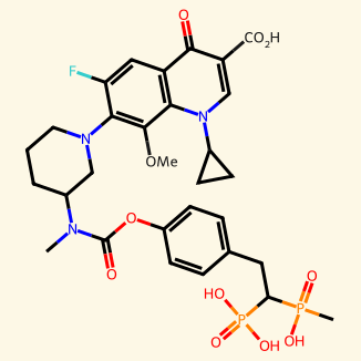 COc1c(N2CCCC(N(C)C(=O)Oc3ccc(CC(P(C)(=O)O)P(=O)(O)O)cc3)C2)c(F)cc2c(=O)c(C(=O)O)cn(C3CC3)c12